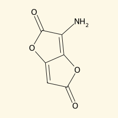 NC1=C2OC(=O)C=C2OC1=O